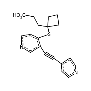 O=C(O)CCC1(Sc2ccncc2C#Cc2ccncc2)CCC1